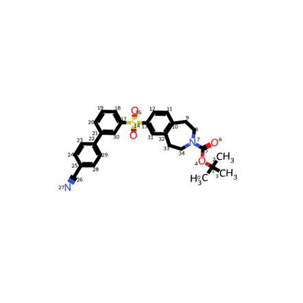 CC(C)(C)OC(=O)N1CCc2ccc(S(=O)(=O)c3cccc(-c4ccc(C#N)cc4)c3)cc2CC1